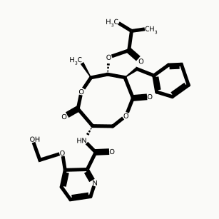 CC(C)C(=O)O[C@H]1[C@H](C)OC(=O)[C@@H](NC(=O)c2ncccc2OCO)COC(=O)[C@@H]1Cc1ccccc1